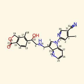 Cc1cc(-n2cc(CNCC(O)c3ccc4c(c3C)COC4=O)c3ncccc32)ncc1C#N